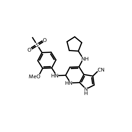 COc1cc(S(C)(=O)=O)ccc1NC1C=C(NC2CCCC2)c2c(C#N)c[nH]c2N1